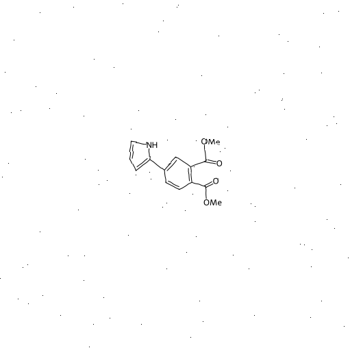 COC(=O)c1ccc(-c2ccc[nH]2)cc1C(=O)OC